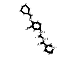 O=C(NC(=S)Nc1ccc(OCC2CCCCC2)c(F)c1)c1cccnc1